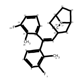 Cc1c(F)cccc1C(=CC1CC2CCC(C1)N2C)c1cccc(F)c1C